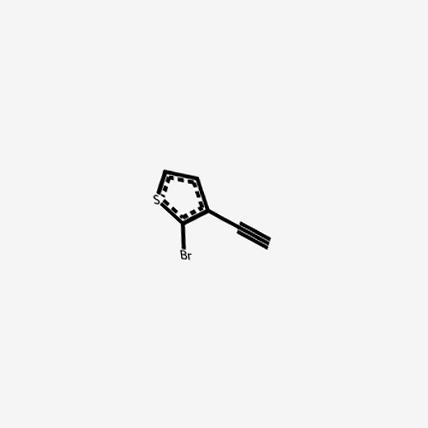 C#Cc1ccsc1Br